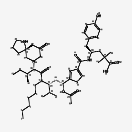 CCCCCCN(C(=O)[C@H]([C@@H](C)CC)N1CC(=O)C[C@]2(CCCN2)C1)[C@H](C[C@@H](OC(C)=O)c1nc(C(=O)N[C@@H](Cc2ccc(O)cc2)CC(C)(C)C(=O)O)cs1)C(C)C